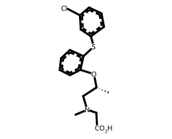 C[C@H](CN(C)CC(=O)O)Oc1ccccc1Sc1cccc(Cl)c1